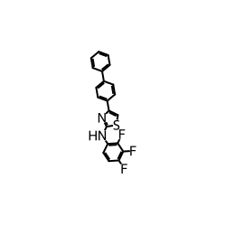 Fc1ccc(Nc2nc(-c3ccc(-c4ccccc4)cc3)cs2)c(F)c1F